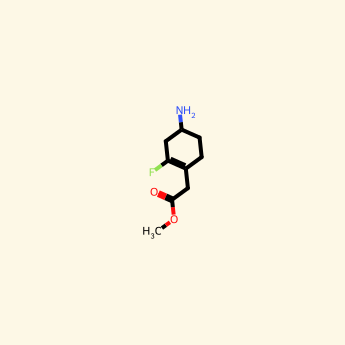 COC(=O)CC1=C(F)CC(N)CC1